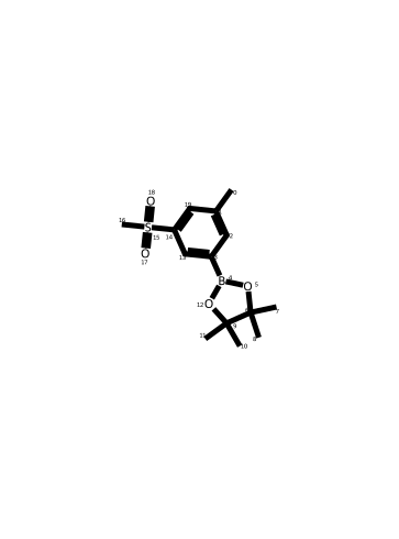 Cc1cc(B2OC(C)(C)C(C)(C)O2)cc(S(C)(=O)=O)c1